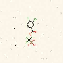 O=C(OCC(F)(F)S(=O)(=O)O)c1ccc(F)c(Br)c1